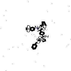 O=C(Nc1ccc(C2S/C(=N\c3ccc4c(c3)OCCO4)N(Cc3ccco3)C2=O)cc1)[C@@H]1CCCN1C(=O)OCc1ccccc1